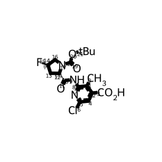 Cc1c(C(=O)O)cc(Cl)nc1NC(=O)[C@@H]1C[C@@H](F)CN1C(=O)OC(C)(C)C